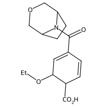 CCOC1C=C(C(=O)N2C3CCC2COC3)C=CC1C(=O)O